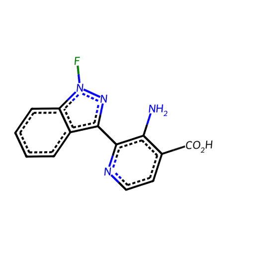 Nc1c(C(=O)O)ccnc1-c1nn(F)c2ccccc12